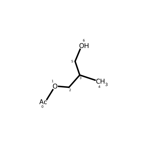 CC(=O)OCC(C)CO